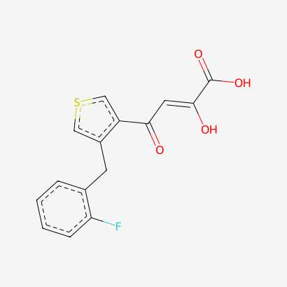 O=C(O)/C(O)=C/C(=O)c1cscc1Cc1ccccc1F